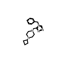 c1ccc(Cn2cnnc2CN2CCN(C3CCC3)CC2)cc1